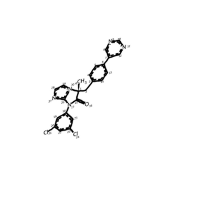 C[C@@]1(Cc2ccc(-c3cncnc3)cc2)C(=O)N(c2cc(Cl)cc(Cl)c2)c2nccn21